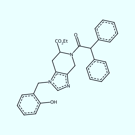 CCOC(=O)C1Cc2c(ncn2Cc2ccccc2O)CN1C(=O)C(c1ccccc1)c1ccccc1